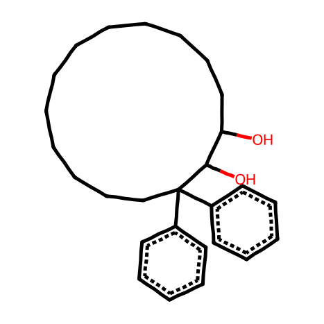 OC1CCCCCCCCCCCCC(c2ccccc2)(c2ccccc2)C1O